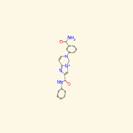 NC(=O)c1cccc(N2C=CC3=NC(C(=O)Nc4ccccc4)=C[N+]3C2)c1